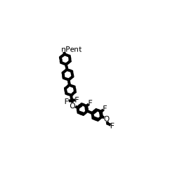 CCCCCC1CCC(C2CCC(C3CCC(C(F)(F)Oc4ccc(-c5ccc(OCF)c(F)c5)c(F)c4)CC3)CC2)CC1